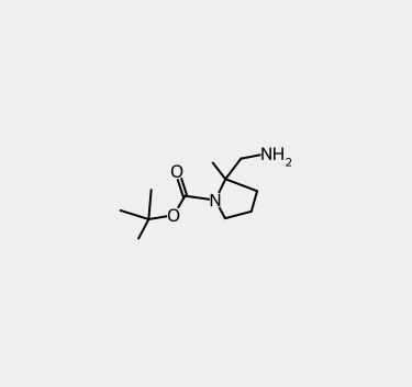 CC(C)(C)OC(=O)N1CCCC1(C)CN